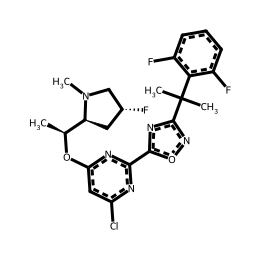 C[C@H](Oc1cc(Cl)nc(-c2nc(C(C)(C)c3c(F)cccc3F)no2)n1)[C@@H]1C[C@@H](F)CN1C